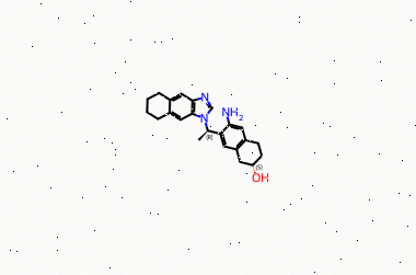 C[C@H](c1cc2c(cc1N)CC[C@H](O)C2)n1cnc2cc3c(cc21)CCCC3